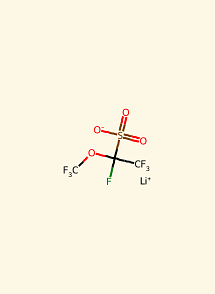 O=S(=O)([O-])C(F)(OC(F)(F)F)C(F)(F)F.[Li+]